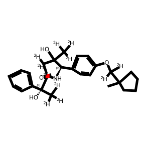 [2H]C([2H])([2H])C(O)([C@H](NC(=O)[C@](O)(c1ccccc1)C([2H])([2H])[2H])c1ccc(OC([2H])([2H])C2(C)CCCC2)cc1)C([2H])([2H])[2H]